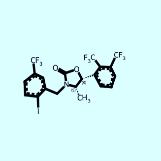 C[C@H]1[C@@H](c2cccc(C(F)(F)F)c2C(F)(F)F)OC(=O)N1Cc1cc(C(F)(F)F)ccc1I